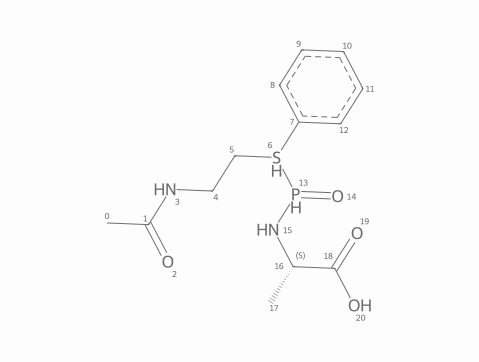 CC(=O)NCC[SH](c1ccccc1)[PH](=O)N[C@@H](C)C(=O)O